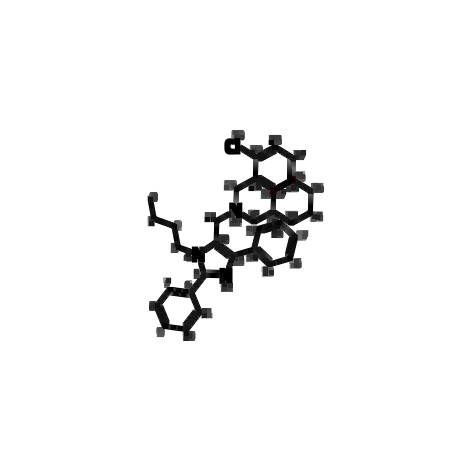 CCCCn1c(-c2ccccc2)nc(-c2ccccc2)c1CN(Cc1ccccc1Cl)CC1CCCCC1